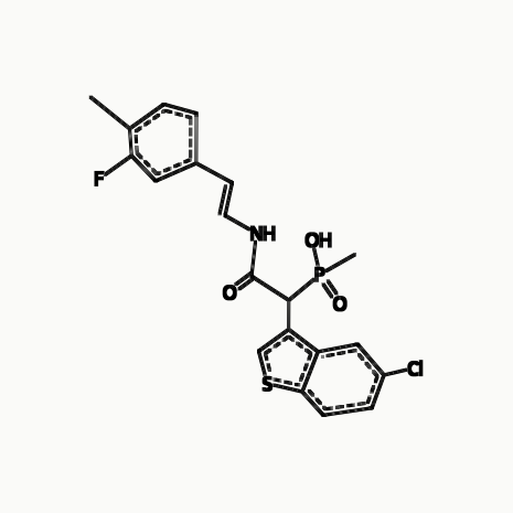 Cc1ccc(/C=C/NC(=O)C(c2csc3ccc(Cl)cc23)P(C)(=O)O)cc1F